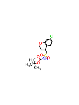 CC(C)(C)OC(=O)NS(=O)(=O)CC1CCOc2cc(Cl)ccc21